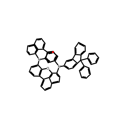 c1ccc(-c2ccc(N(c3ccc4c(c3)-c3ccccc3C4(c3ccccc3)c3ccccc3)c3ccc4cccc5c4c3Oc3c-5cccc3N(c3ccccc3)c3ccccc3)cc2)cc1